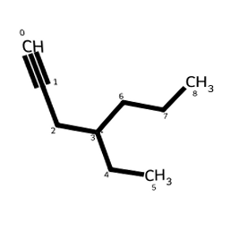 C#CC[C](CC)CCC